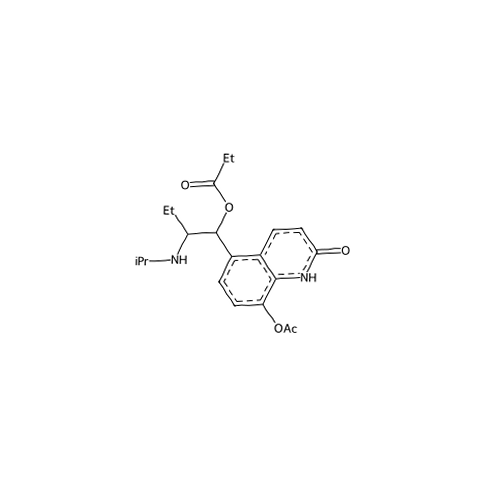 CCC(=O)OC(c1ccc(OC(C)=O)c2[nH]c(=O)ccc12)C(CC)NC(C)C